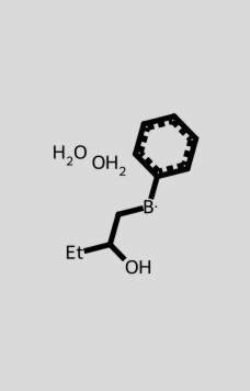 CCC(O)C[B]c1ccccc1.O.O